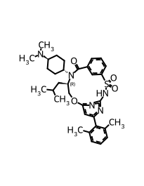 Cc1cccc(C)c1-c1cc2nc(n1)NS(=O)(=O)c1cccc(c1)C(=O)N([C@H]1CC[C@H](N(C)C)CC1)[C@H](CC(C)C)CO2